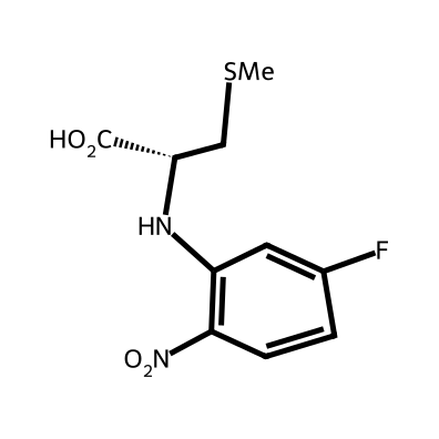 CSC[C@H](Nc1cc(F)ccc1[N+](=O)[O-])C(=O)O